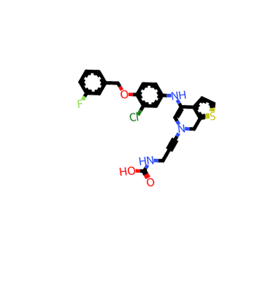 O=C(O)NCC#CN1C=C(Nc2ccc(OCc3cccc(F)c3)c(Cl)c2)c2ccsc2C1